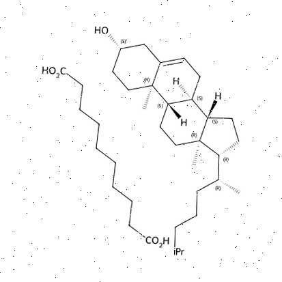 CC(C)CCC[C@@H](C)[C@H]1CC[C@H]2[C@@H]3CC=C4C[C@@H](O)CC[C@]4(C)[C@H]3CC[C@]12C.O=C(O)CCCCCCCCC(=O)O